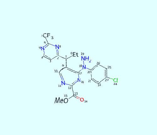 CCC(c1ccnc(C(F)(F)F)n1)c1cnc(C(=O)OC)nc1N(N)c1ccc(Cl)cc1